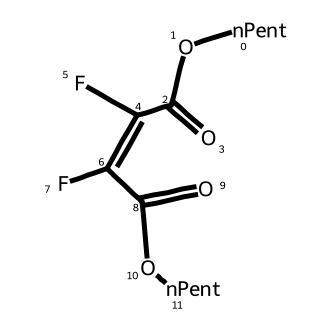 CCCCCOC(=O)/C(F)=C(/F)C(=O)OCCCCC